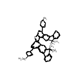 COc1ccc(-c2cc3sc4cc(-c5ccc(C)cc5)c5cc6c(cc5c4c3c3cc4c(cc23)-c2ccccc2C4(C)C)C(C)(C)c2ccccc2-6)cc1